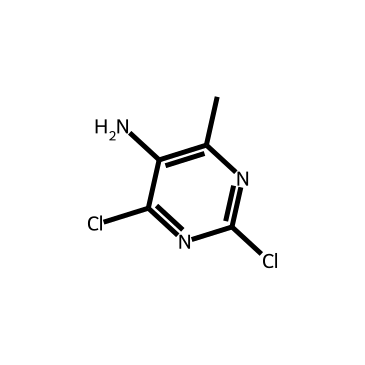 Cc1nc(Cl)nc(Cl)c1N